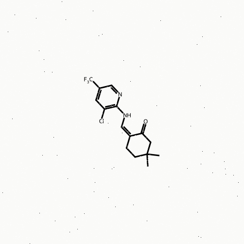 CC1(C)CC/C(=C/Nc2ncc(C(F)(F)F)cc2Cl)C(=O)C1